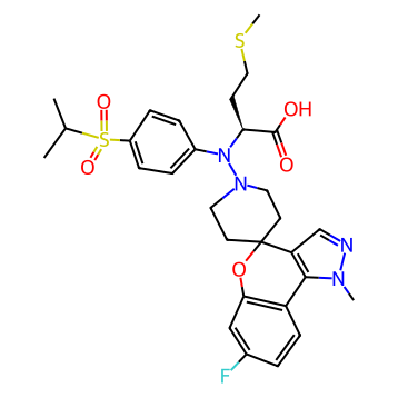 CSCC[C@@H](C(=O)O)N(c1ccc(S(=O)(=O)C(C)C)cc1)N1CCC2(CC1)Oc1cc(F)ccc1-c1c2cnn1C